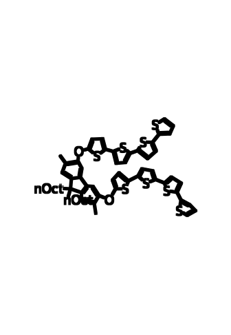 CCCCCCCCC1(CCCCCCCC)c2cc(C)c(Oc3ccc(-c4ccc(-c5ccc(-c6cccs6)s5)s4)s3)cc2-c2cc(Oc3ccc(-c4ccc(-c5ccc(-c6cccs6)s5)s4)s3)c(C)cc21